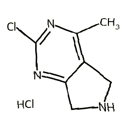 Cc1nc(Cl)nc2c1CNC2.Cl